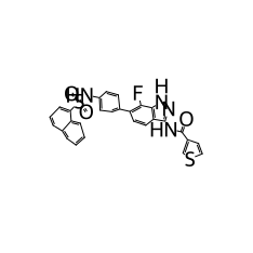 O=C(Nc1n[nH]c2c(F)c(-c3ccc(NS(=O)(=O)c4cccc5ccccc45)cc3)ccc12)c1ccsc1